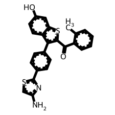 Cc1ccccc1C(=O)c1sc2cc(O)ccc2c1-c1ccc(-c2nc(N)cs2)cc1